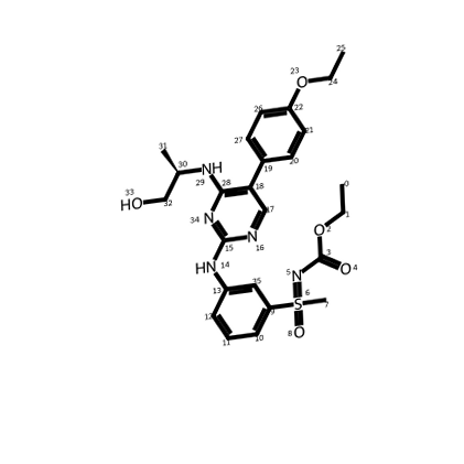 CCOC(=O)N=S(C)(=O)c1cccc(Nc2ncc(-c3ccc(OCC)cc3)c(N[C@H](C)CO)n2)c1